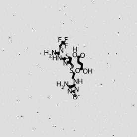 NC(=NCC(F)(F)F)Nc1nc(CSCCNc2n[s+]([O-])nc2N)cs1.O=C(O)C=CC(=O)O